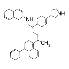 CC(CCC(CNC1C=CC2CCC=CC2C1)C1CC=C(C2CCNC2)CC1)C1=C2C=CCCC2C(C2C=CCCC2)CC1